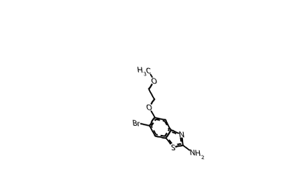 COCCOc1cc2nc(N)sc2cc1Br